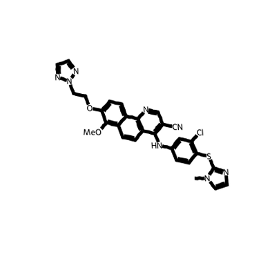 COc1c(OCCn2nccn2)ccc2c1ccc1c(Nc3ccc(Sc4nccn4C)c(Cl)c3)c(C#N)cnc12